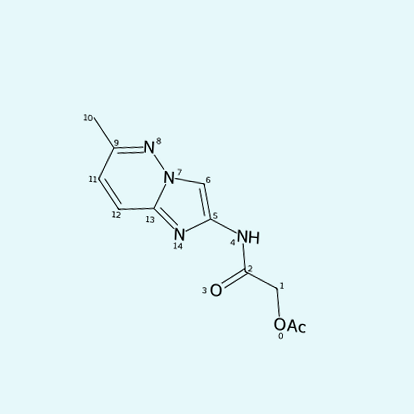 CC(=O)OCC(=O)Nc1cn2nc(C)ccc2n1